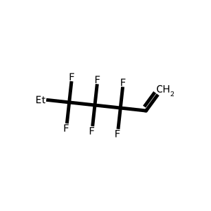 C=CC(F)(F)C(F)(F)C(F)(F)CC